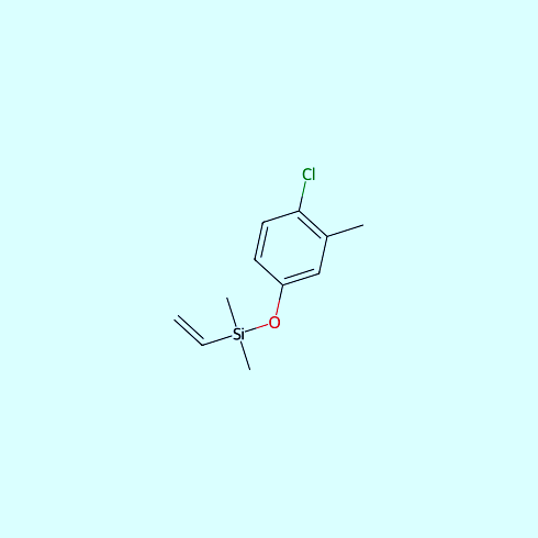 C=C[Si](C)(C)Oc1ccc(Cl)c(C)c1